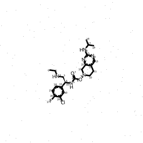 CCNC[C@@H](NC(=O)ON1CCc2cnc(NC(C)C)nc2C1)c1ccc(F)c(Cl)c1